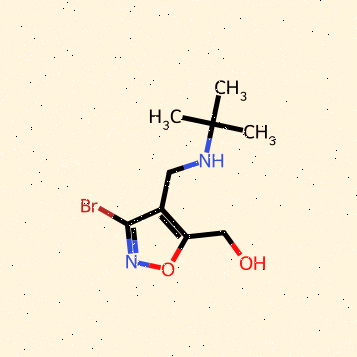 CC(C)(C)NCc1c(Br)noc1CO